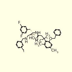 Cc1cc(C)c(C(C)(C)CC(=O)N[C@@H](Cc2cc(F)cc(F)c2)[C@H](O)CNCc2cccc(I)c2)c(OCc2ccccc2)c1